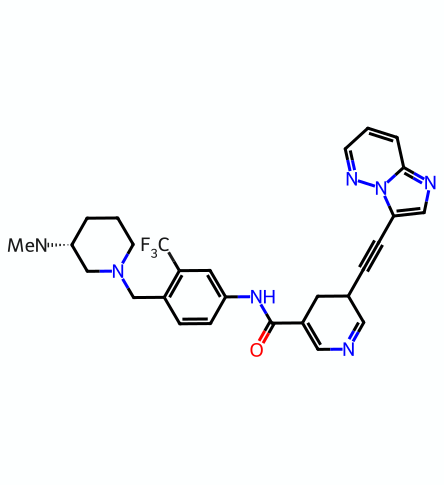 CN[C@@H]1CCCN(Cc2ccc(NC(=O)C3=CN=CC(C#Cc4cnc5cccnn45)C3)cc2C(F)(F)F)C1